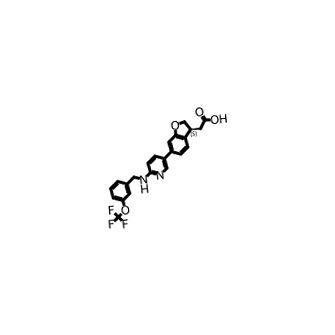 O=C(O)C[C@@H]1COc2cc(-c3ccc(NCc4cccc(OC(F)(F)F)c4)nc3)ccc21